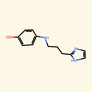 Oc1ccc(NCCCc2ncc[nH]2)cc1